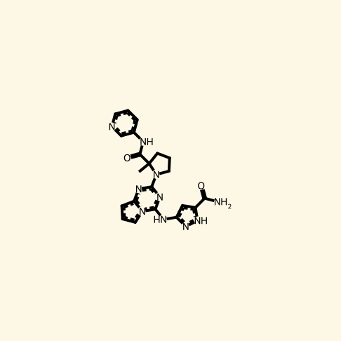 CC1(C(=O)Nc2cccnc2)CCCN1c1nc(Nc2cc(C(N)=O)[nH]n2)n2cccc2n1